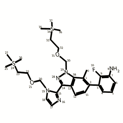 Cc1c(-c2cccc(N)c2F)ccc2c(-c3nccn3COCCS(C)(C)C)nn(COCCS(C)(C)C)c12